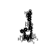 CC(NC(=O)OCC1c2ccccc2-c2ccccc21)C(=O)NC(C)C(=O)NC(C)C(=O)NCSCCc1ccc(NC(=O)NCc2ccc3c(c2)CN(C2CCC(=O)NC2=O)C3=O)cc1Cl